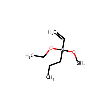 C=C[Si](CCC)(O[SiH3])OCC